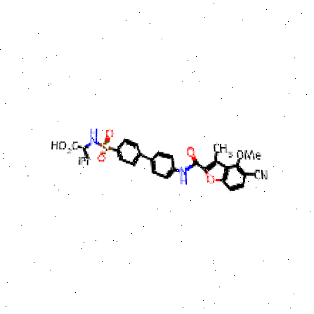 COc1c(C#N)ccc2oc(C(=O)Nc3ccc(-c4ccc(S(=O)(=O)N[C@H](C(=O)O)C(C)C)cc4)cc3)c(C)c12